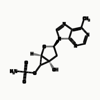 Cc1ncnc2c1ncn2[C@H]1C[C@@]2(O)C(OS(N)(=O)=O)[C@H]2O1